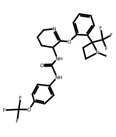 CN1CCC1(c1ccccc1OC1=NCCCC1NC(=O)Nc1ccc(OC(F)(F)F)cc1)C(F)(F)F